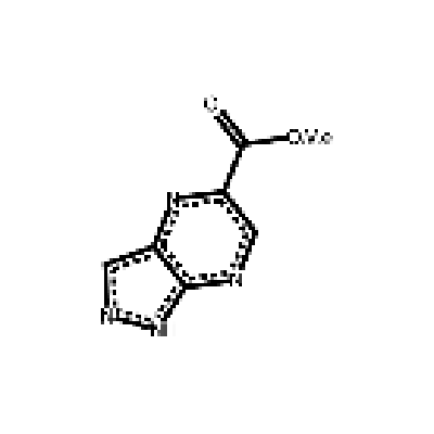 COC(=O)c1cnc2[nH]ncc2n1